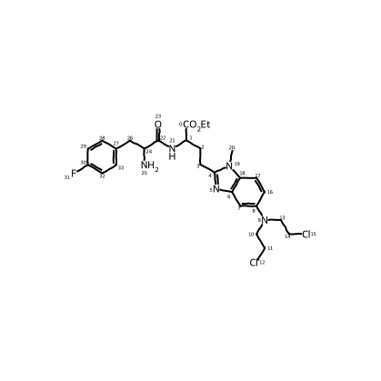 CCOC(=O)C(CCc1nc2cc(N(CCCl)CCCl)ccc2n1C)NC(=O)C(N)Cc1ccc(F)cc1